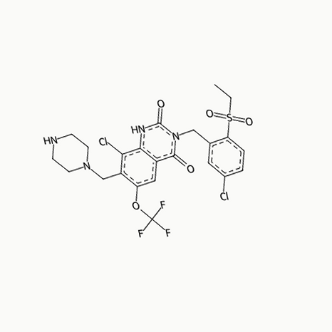 CCS(=O)(=O)c1ccc(Cl)cc1Cn1c(=O)[nH]c2c(Cl)c(CN3CCNCC3)c(OC(F)(F)F)cc2c1=O